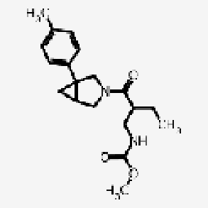 CCC(CNC(=O)OC)C(=O)N1CC2CC2(c2ccc(C)cc2)C1